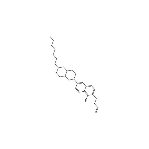 C=CCCc1ccc2cc(C3CCC4CC(CCCCCCC)CCC4C3)ccc2c1F